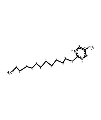 CCCCCCCCCCCCSc1ncc(N)cn1